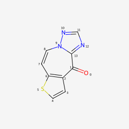 O=c1c2ccsc2ccn2ncnc12